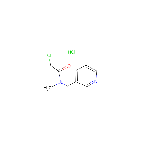 CN(Cc1cccnc1)C(=O)CCl.Cl